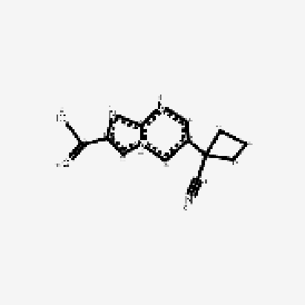 N#CC1(c2cnc3nc(C(=O)O)cn3c2)CCC1